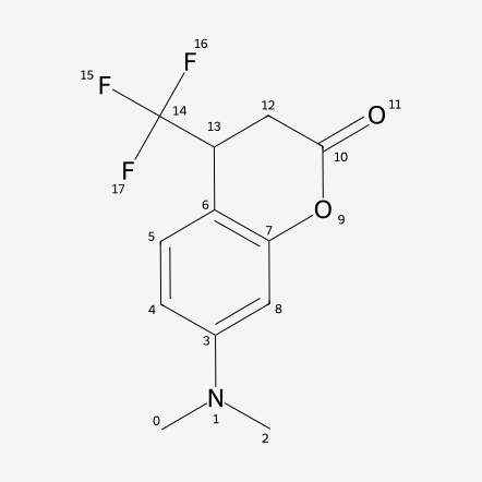 CN(C)c1ccc2c(c1)OC(=O)CC2C(F)(F)F